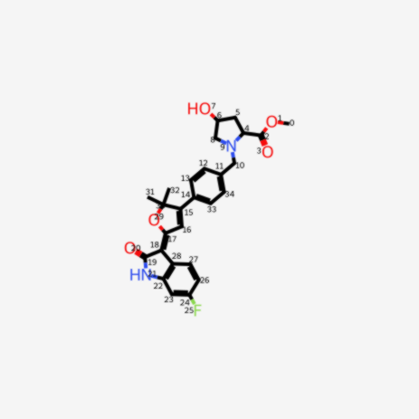 COC(=O)C1CC(O)CN1Cc1ccc(C2=CC(=C3C(=O)Nc4cc(F)ccc43)OC2(C)C)cc1